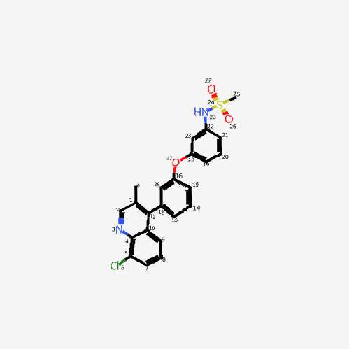 Cc1cnc2c(Cl)cccc2c1-c1cccc(Oc2cccc(NS(C)(=O)=O)c2)c1